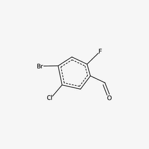 O=Cc1cc(Cl)c(Br)cc1F